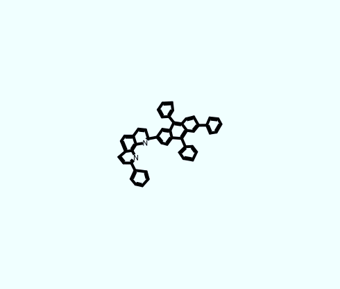 c1ccc(-c2ccc3c(-c4ccccc4)c4cc(-c5ccc6ccc7ccc(-c8ccccc8)nc7c6n5)ccc4c(-c4ccccc4)c3c2)cc1